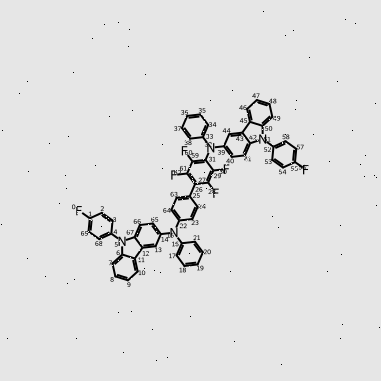 Fc1ccc(-n2c3ccccc3c3cc(N(c4ccccc4)c4ccc(-c5c(F)c(F)c(N(c6ccccc6)c6ccc7c(c6)c6ccccc6n7-c6ccc(F)cc6)c(F)c5F)cc4)ccc32)cc1